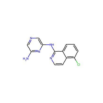 Nc1cncc(Nc2nccc3c(Cl)cccc23)n1